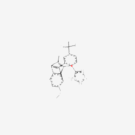 COc1ccc2c3c1C(c1cccc(C(F)(F)F)c1)=C2C(C)=C3Cc1nnn[nH]1